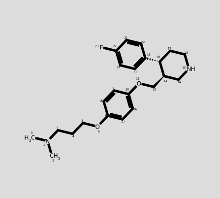 CN(C)CCCOc1ccc(OC[C@@H]2CNCC[C@H]2c2ccc(F)cc2)cc1